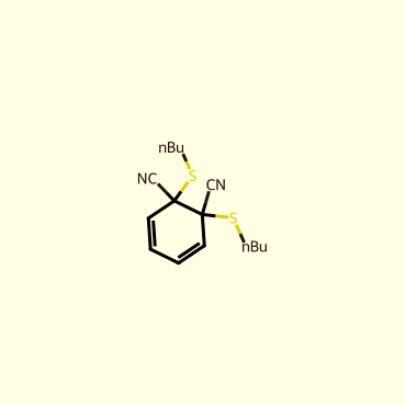 CCCCSC1(C#N)C=CC=CC1(C#N)SCCCC